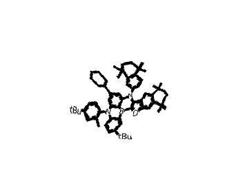 Cc1cc(C(C)(C)C)ccc1N1c2ccc(C(C)(C)C)cc2B2c3oc4cc5c(cc4c3N(c3ccc4c(c3)C(C)(C)CCC4(C)C)c3cc(C4CCCCC4)cc1c32)C(C)(C)CCC5(C)C